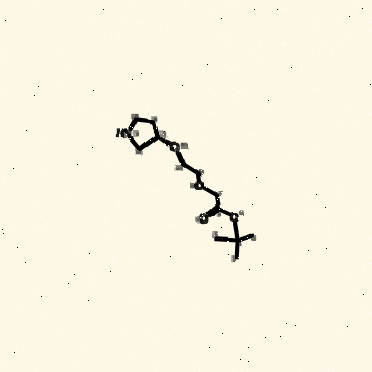 CC(C)(C)OC(=O)COCCO[C@@H]1CCNC1